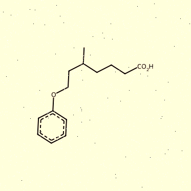 CC(CCCC(=O)O)CCOc1ccccc1